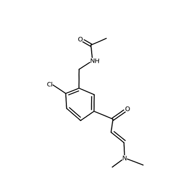 CC(=O)NCc1cc(C(=O)/C=C/N(C)C)ccc1Cl